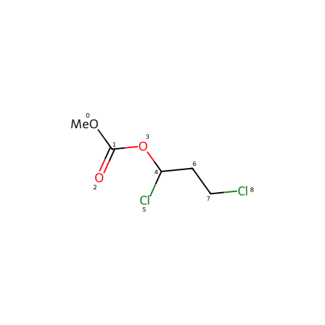 COC(=O)OC(Cl)CCCl